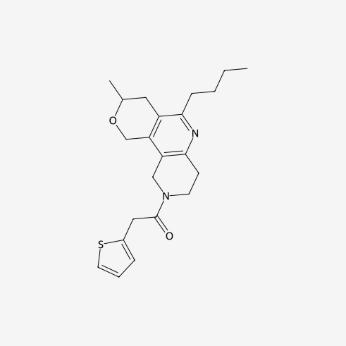 CCCCc1nc2c(c3c1CC(C)OC3)CN(C(=O)Cc1cccs1)CC2